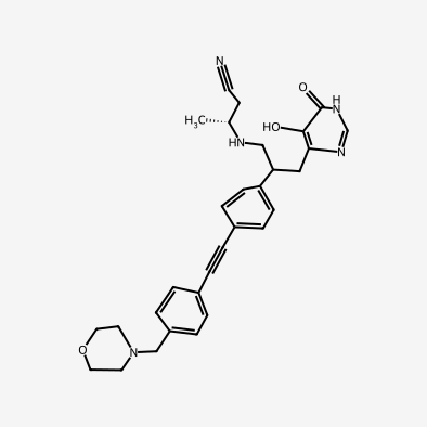 C[C@H](CC#N)NCC(Cc1nc[nH]c(=O)c1O)c1ccc(C#Cc2ccc(CN3CCOCC3)cc2)cc1